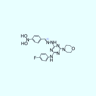 ON(O)c1ccc(/C=N/Nc2nc(Nc3ccc(F)cc3)nc(N3CCOCC3)n2)cc1